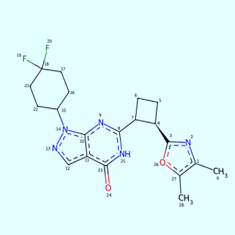 Cc1nc([C@@H]2CCC2c2nc3c(cnn3C3CCC(F)(F)CC3)c(=O)[nH]2)oc1C